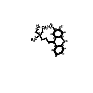 CC[N+](C)(CC)CC/C=C1/c2ccccc2Sc2ccc(C)cc21.[I-]